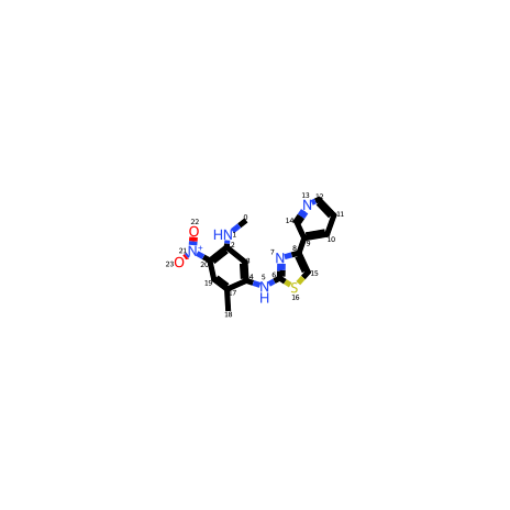 CNc1cc(Nc2nc(-c3cccnc3)cs2)c(C)cc1[N+](=O)[O-]